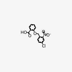 O=C(O)c1ccccc1OCc1ccc(Cl)cc1[N+](=O)[O-]